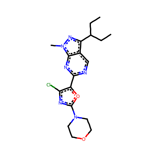 CCC(CC)c1nn(C)c2nc(-c3oc(N4CCOCC4)nc3Cl)ncc12